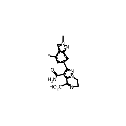 Cn1cc2c(F)cc(-c3nn4c(c3C(N)=O)C(C(=O)O)=NCC4)cc2n1